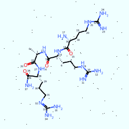 C[C@H](NC(=O)[C@@H](CCCNC(=N)N)NC(=O)[C@H](N)CCCNC(=N)N)C(=O)N[C@H](CCCN=C(N)N)C(N)=O